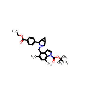 CCOC(=O)c1ccc(C2C3CC3CN2Cc2c(C)cc(C)c3c2ccn3C(=O)OC(C)(C)C)cc1